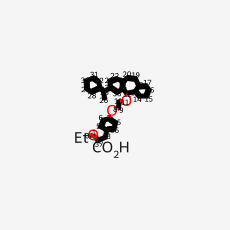 CCOC(Cc1ccc(OCCOC2c3ccccc3C=Cc3ccc(C(C)c4ccccc4)cc32)cc1)C(=O)O